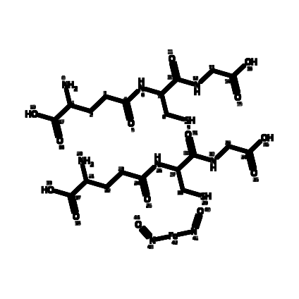 NC(CCC(=O)NC(CS)C(=O)NCC(=O)O)C(=O)O.NC(CCC(=O)NC(CS)C(=O)NCC(=O)O)C(=O)O.O=[N][Fe][N]=O